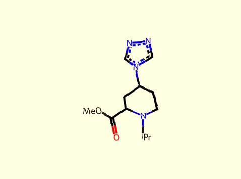 COC(=O)C1CC(n2cnnc2)CCN1C(C)C